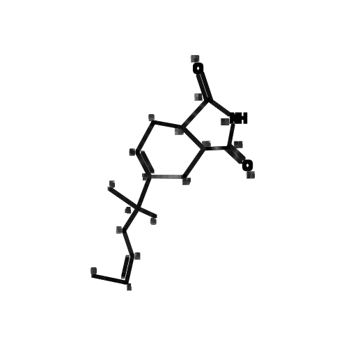 C/C=C\CC(C)(C)C1=CCC2C(=O)NC(=O)C2C1